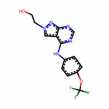 OCCn1cc2c(Nc3ccc(OC(F)(F)F)cc3)ncnc2n1